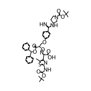 Cc1sc(NC(=O)OC(C)(C)C)nc1/C(=N/OC(COc1ccc(C(=N)N[C@@H]2CCN(C(=O)OC(C)(C)C)C2)cc1)C(=O)OC(c1ccccc1)c1ccccc1)C(=O)O